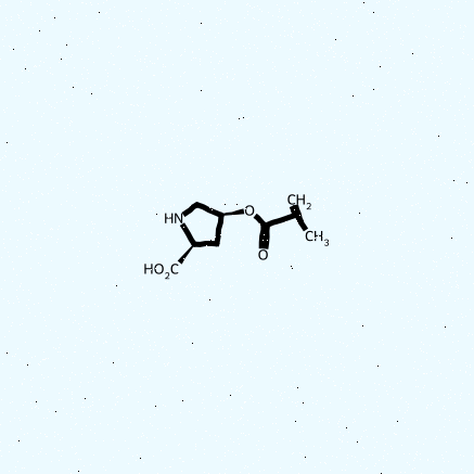 C=C(C)C(=O)O[C@@H]1CN[C@H](C(=O)O)C1